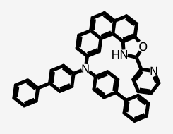 c1ccc(-c2ccc(N(c3ccc(-c4ccccc4)cc3)c3ccc4ccc5ccc6c(c5c4c3)NC(c3ccccn3)O6)cc2)cc1